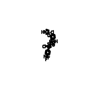 C[C@@]1(Oc2cc(NS(=O)(=O)c3cc(-c4ccc(C(F)(F)F)cc4)c(Cl)s3)ccc2Cl)CCNC1